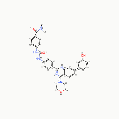 CN(C)C(=O)c1ccc(NC(=O)Nc2ccc(-c3nc(N4CCOCC4)c4ccc(-c5cccc(O)c5)cc4n3)cc2)cc1